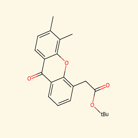 Cc1ccc2c(=O)c3cccc(CC(=O)OC(C)(C)C)c3oc2c1C